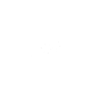 FC(F)(F)Oc1ccc2c(c1)C=CC(C(F)(F)F)O2